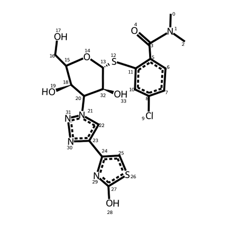 CN(C)C(=O)c1ccc(Cl)cc1S[C@H]1OC(CO)[C@H](O)C(n2cc(-c3csc(O)n3)nn2)[C@@H]1O